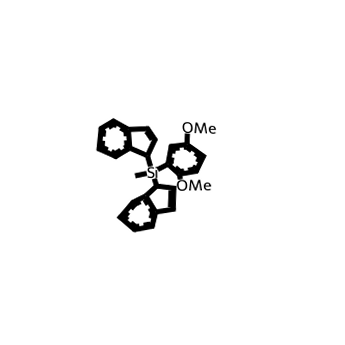 COc1ccc(OC)c([Si](C)(C2C=Cc3ccccc32)C2C=Cc3ccccc32)c1